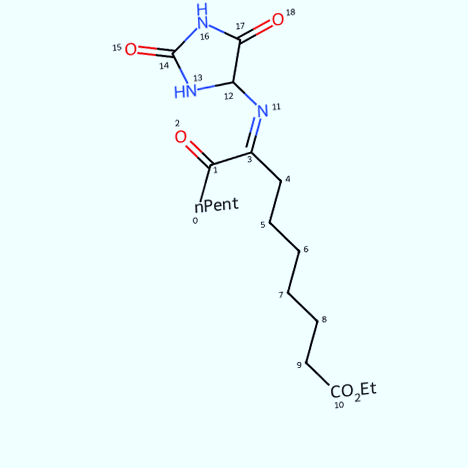 CCCCCC(=O)C(CCCCCCC(=O)OCC)=NC1NC(=O)NC1=O